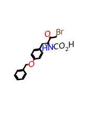 O=C(O)N[C@@H](Cc1ccc(OCc2ccccc2)cc1)C(=O)CBr